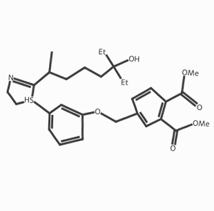 CCC(O)(CC)CCCC(C)C1=NCC[SH]1c1cccc(OCc2ccc(C(=O)OC)c(C(=O)OC)c2)c1